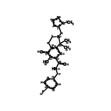 Cn1nncc1CN1CCn2c(nc(C(=O)NCc3ccc(F)cc3)c(O)c2=O)C1(C)C